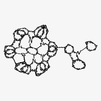 c1ccc(-n2c3ccccc3c3cc(-c4ccc5c(c4)c4ccccc4n5-c4c(-n5c6ccccc6c6ccccc65)c(-n5c6ccccc6c6ccccc65)c(B5c6ccccc6-c6ccccc65)c(-n5c6ccccc6c6ccccc65)c4-n4c5ccccc5c5ccccc54)ccc32)cc1